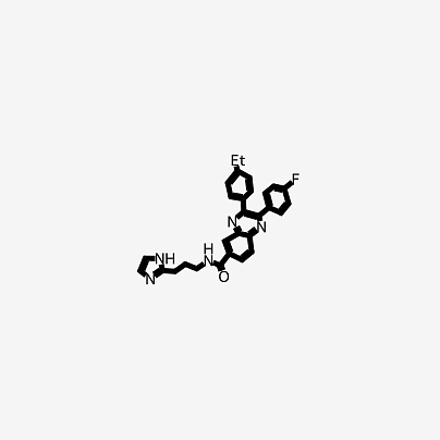 CCc1ccc(-c2nc3cc(C(=O)NCCCc4ncc[nH]4)ccc3nc2-c2ccc(F)cc2)cc1